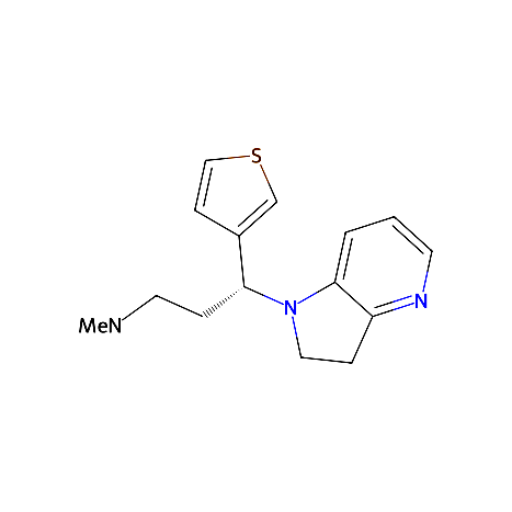 CNCC[C@H](c1ccsc1)N1CCc2ncccc21